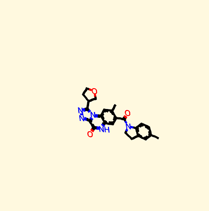 Cc1ccc2c(c1)CCN2C(=O)c1cc2[nH]c(=O)c3nnc(C4CCOC4)n3c2cc1C